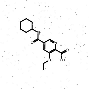 CCOc1cc(C(=O)NC2CCCCC2)cnc1C(=O)O